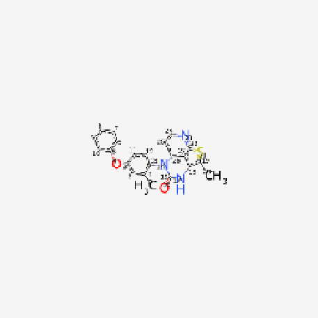 Cc1cc(Oc2ccccc2)ccc1N1C(=O)Nc2c(C)sc3nccc1c23